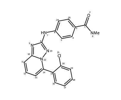 CNC(=O)c1ccc(Nc2nc3cccc(-c4ccccc4Cl)n3n2)cc1